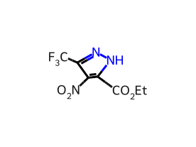 CCOC(=O)c1[nH]nc(C(F)(F)F)c1[N+](=O)[O-]